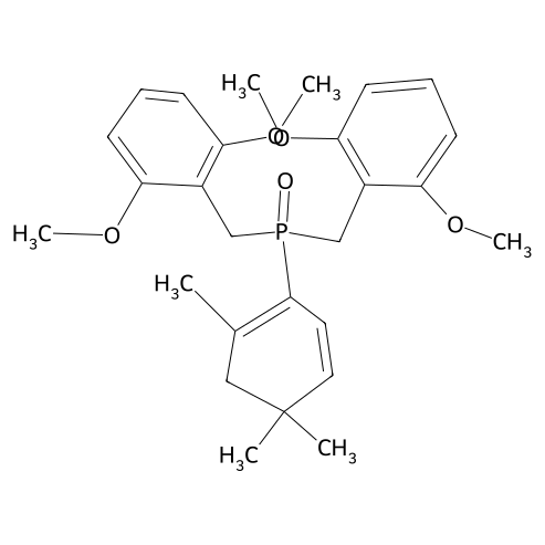 COc1cccc(OC)c1CP(=O)(Cc1c(OC)cccc1OC)C1=C(C)CC(C)(C)C=C1